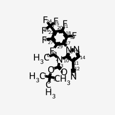 CCN(C(=O)OC(C)(C)C)c1c(C#N)cnn1-c1c(F)c(F)c(C(F)(F)F)c(F)c1F